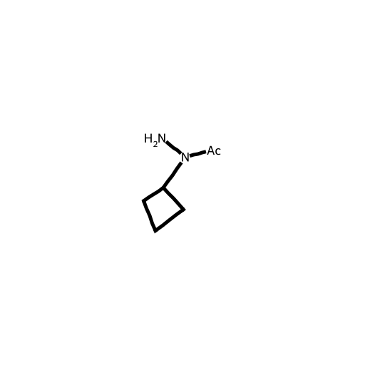 CC(=O)N(N)C1CCC1